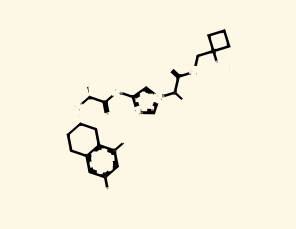 CCC[C@H](N[C@H]1CCc2cc(F)cc(F)c2C1)C(=O)Nc1cn(C(C)C(=O)NCC2(O)CCC2)cn1